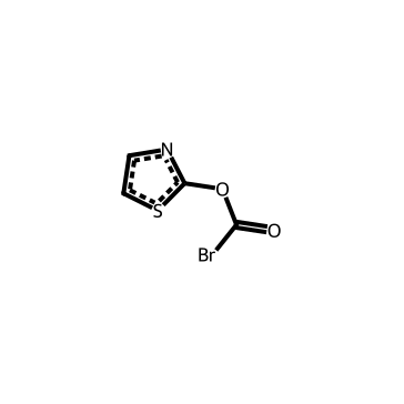 O=C(Br)Oc1nccs1